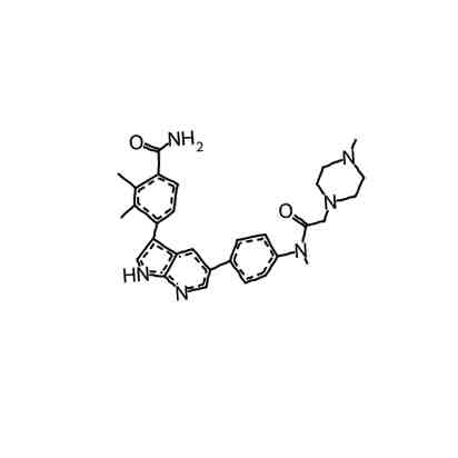 Cc1c(C(N)=O)ccc(-c2c[nH]c3ncc(-c4ccc(N(C)C(=O)CN5CCN(C)CC5)cc4)cc23)c1C